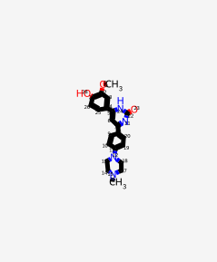 COc1cc(-c2cc(-c3ccc(N4CCN(C)CC4)cc3)nc(=O)[nH]2)ccc1O